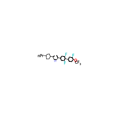 C=C(/C=C\C(=C)C1CCC(CCC)CC1)c1cc(F)c(-c2ccc(OC(F)(F)F)c(F)c2)c(F)c1